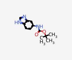 CC(C)(C)OC(=O)Nc1ccc2[nH]cnc2c1